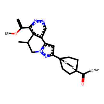 C=C(OCC)c1nncc2c1C(C)Cn1nc(C34CCC(C(=O)OC)(CC3)CC4)cc1-2